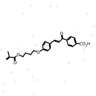 C=C(C)C(=O)OCCCCOc1ccc(C=CC(=O)c2ccc(C(=O)O)cc2)cc1